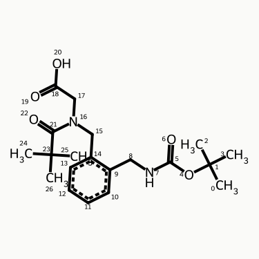 CC(C)(C)OC(=O)NCc1ccccc1CN(CC(=O)O)C(=O)C(C)(C)C